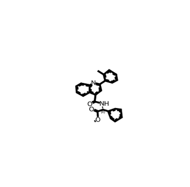 COC(=O)[C@H](NC(=O)c1cc(-c2ccccc2C)nc2ccccc12)c1ccccc1